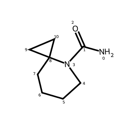 NC(=O)N1CCCCC12CC2